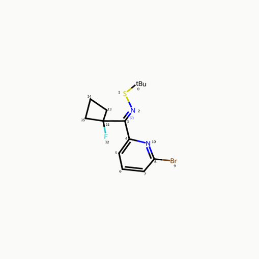 CC(C)(C)S/N=C(/c1cccc(Br)n1)C1(F)CCC1